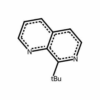 CC(C)(C)c1nccc2cccnc12